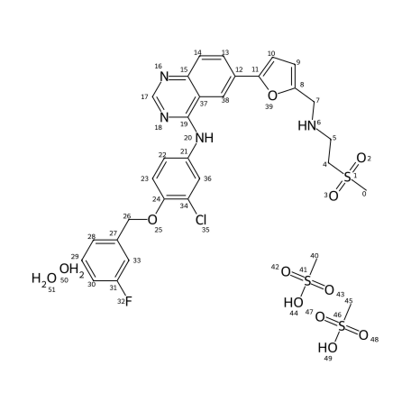 CS(=O)(=O)CCNCc1ccc(-c2ccc3ncnc(Nc4ccc(OCc5cccc(F)c5)c(Cl)c4)c3c2)o1.CS(=O)(=O)O.CS(=O)(=O)O.O.O